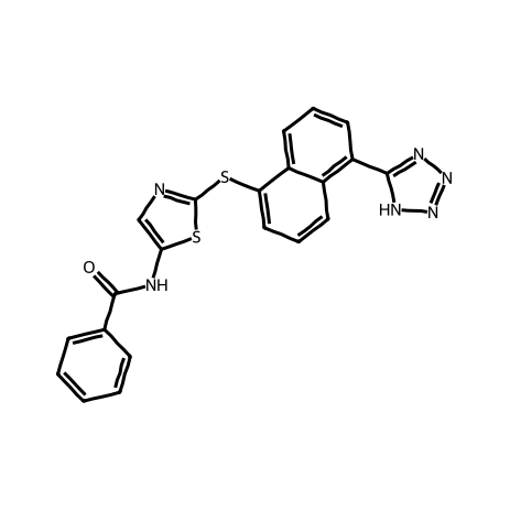 O=C(Nc1cnc(Sc2cccc3c(-c4nnn[nH]4)cccc23)s1)c1ccccc1